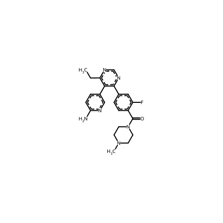 CCc1ncnc(-c2ccc(C(=O)N3CCN(C)CC3)c(F)c2)c1-c1ccc(N)nc1